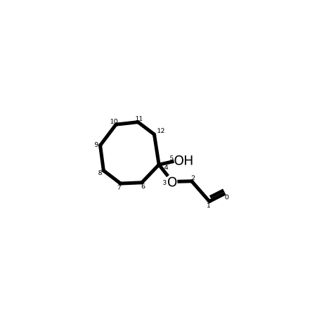 C=CCOC1(O)CCCCCCC1